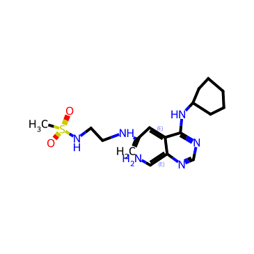 C=C(/C=c1/c(NC2CCCCC2)ncn/c1=C/N)NCCNS(C)(=O)=O